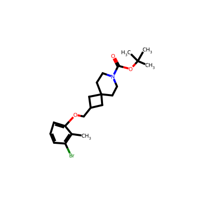 Cc1c(Br)cccc1OCC1CC2(CCN(C(=O)OC(C)(C)C)CC2)C1